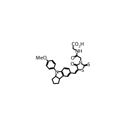 COc1ccc(N2c3ccc(/C=C4/SC(=S)N(CC(=O)NCC(=O)O)C4=O)cc3C3CCCC32)cc1